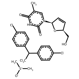 C[S+](C)[O-].Cc1cn([C@H]2C=C[C@@H](CO)O2)c(=O)[nH]c1=O.Clc1ccc(C(c2ccc(Cl)cc2)C(Cl)(Cl)Cl)cc1